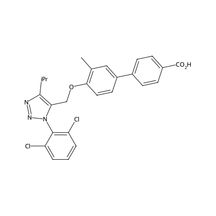 Cc1cc(-c2ccc(C(=O)O)cc2)ccc1OCc1c(C(C)C)nnn1-c1c(Cl)cccc1Cl